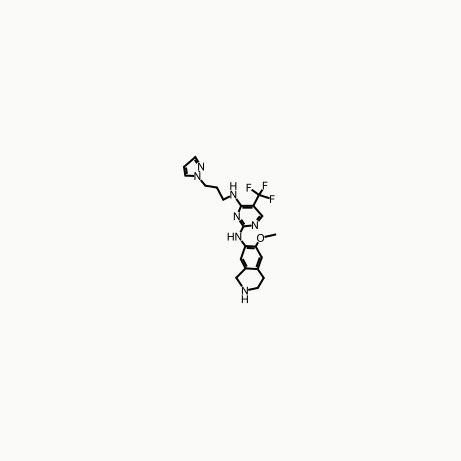 COc1cc2c(cc1Nc1ncc(C(F)(F)F)c(NCCCn3cccn3)n1)CNCC2